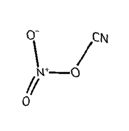 N#CO[N+](=O)[O-]